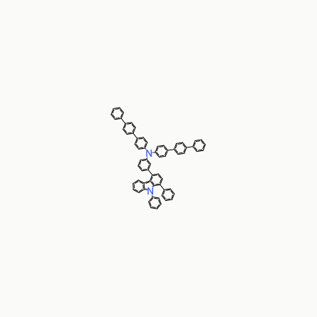 c1ccc(-c2ccc(-c3ccc(N(c4ccc(-c5ccc(-c6ccccc6)cc5)cc4)c4cccc(-c5ccc(-c6ccccc6)c6c5c5ccccc5n6-c5ccccc5)c4)cc3)cc2)cc1